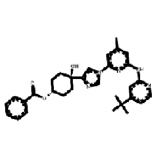 Cc1cc(Nc2cc(C(C)(C)C)ccn2)nc(-n2cnc([C@]3(O)CC[C@H](OC(=O)c4ccccc4)CC3)c2)c1